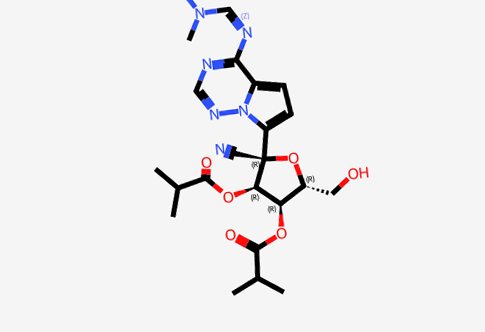 CC(C)C(=O)O[C@H]1[C@@H](OC(=O)C(C)C)[C@](C#N)(c2ccc3c(/N=C\N(C)C)ncnn23)O[C@@H]1CO